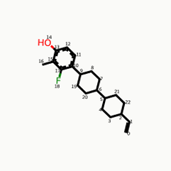 C=CC1CCC(C2CCC(c3ccc(O)c(C)c3F)CC2)CC1